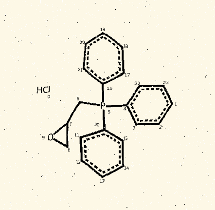 Cl.c1ccc([P](CC2CO2)(c2ccccc2)c2ccccc2)cc1